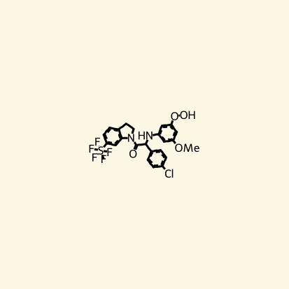 COc1cc(NC(C(=O)N2CCc3ccc(S(F)(F)(F)(F)F)cc32)c2ccc(Cl)cc2)cc(OO)c1